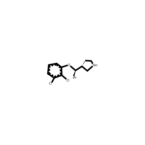 CC(C)[C@@H](Oc1cccc(Cl)c1Cl)[C@@H]1CCNC1